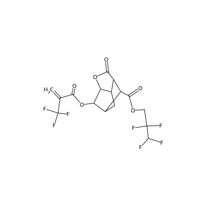 C=C(C(=O)OC1C2CC3C1OC(=O)C3C2C(=O)OCC(F)(F)C(F)F)C(F)(F)F